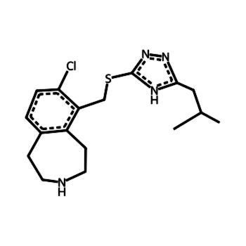 CC(C)Cc1nnc(SCc2c(Cl)ccc3c2CCNCC3)[nH]1